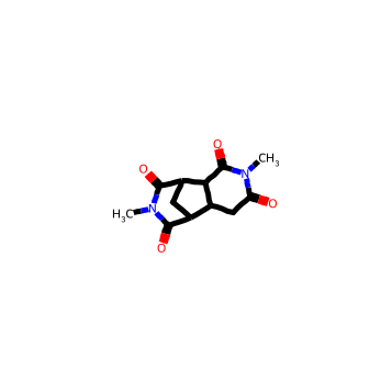 CN1C(=O)C2CC(C1=O)C1C(=O)N(C)C(=O)CC21